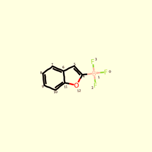 F[B-](F)(F)c1cc2ccccc2o1